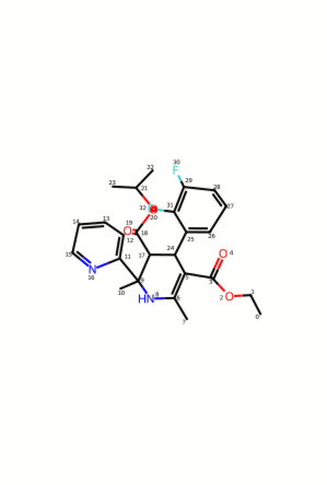 CCOC(=O)C1=C(C)NC(C)(c2ccccn2)C(C(=O)OC(C)C)C1c1cccc(F)c1F